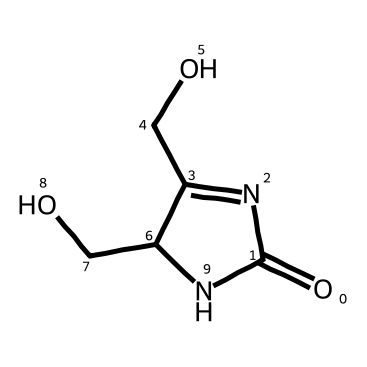 O=C1N=C(CO)C(CO)N1